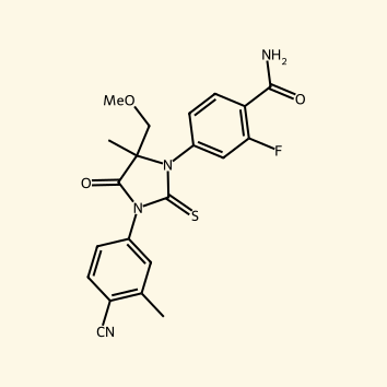 COCC1(C)C(=O)N(c2ccc(C#N)c(C)c2)C(=S)N1c1ccc(C(N)=O)c(F)c1